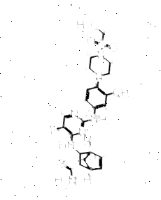 CCS(=O)(=O)N1CCN(c2ccc(Nc3ncc(F)c(NC4[C@@H](C(N)=O)[C@@H]5C=C[C@H]4C5)n3)cc2C)CC1